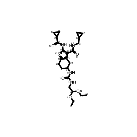 CCOC(CNC(=O)NC1CCc2sc(NC(=O)C3CC3)c(C(=O)NCC3CC3)c2C1)OCC